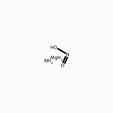 O=NO.[AlH3].[MgH2]